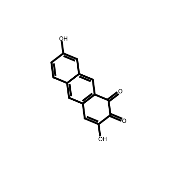 O=C1C(=O)c2cc3cc(O)ccc3cc2C=C1O